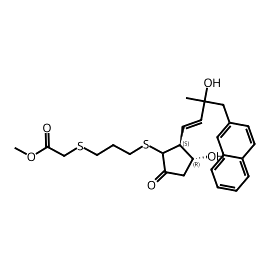 COC(=O)CSCCCSC1C(=O)C[C@@H](O)[C@@H]1C=CC(C)(O)Cc1ccc2ccccc2c1